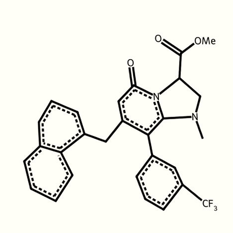 COC(=O)C1CN(C)c2c(-c3cccc(C(F)(F)F)c3)c(Cc3cccc4ccccc34)cc(=O)n21